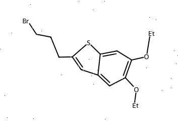 CCOc1cc2cc(CCCBr)sc2cc1OCC